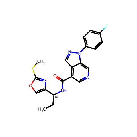 CC[C@H](NC(=O)c1cncc2c1cnn2-c1ccc(F)cc1)c1coc(SC)n1